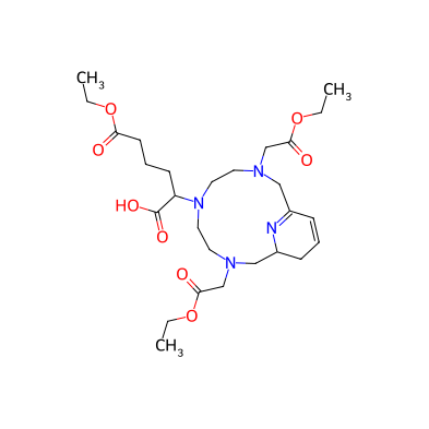 CCOC(=O)CCCC(C(=O)O)N1CCN(CC(=O)OCC)CC2=NC(CC=C2)CN(CC(=O)OCC)CC1